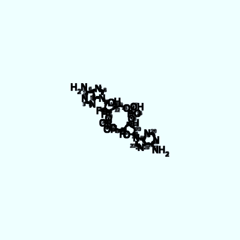 Nc1ncnc2c1ncn2[C@@H]1O[C@@H]2COP(=O)(O)O[C@H]3C[C@H](n4cnc5c(N)ncnc54)O[C@@H]3COP(=O)(O)O[C@H]2[C@H]1F